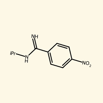 CC(C)NC(=N)c1ccc([N+](=O)[O-])cc1